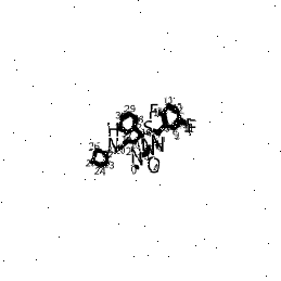 CN(C)C(=O)N1N=C(c2cc(F)ccc2F)SC1(CCCNC1C=CCC1)c1ccccc1